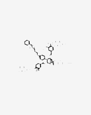 COc1ccc(CO[C@H]2CN(C(=O)O)C[C@@H](OCc3ccc(OC)c(Cl)c3)C2c2ccc(OCCCOCc3ccccc3)cc2)cc1Cl